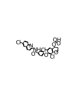 O=C(O)OC1CCOc2c1cc(Cl)c(Oc1ccc(C(=O)Nc3ccc4cc(Cl)ccc4n3)cc1)c2Cl